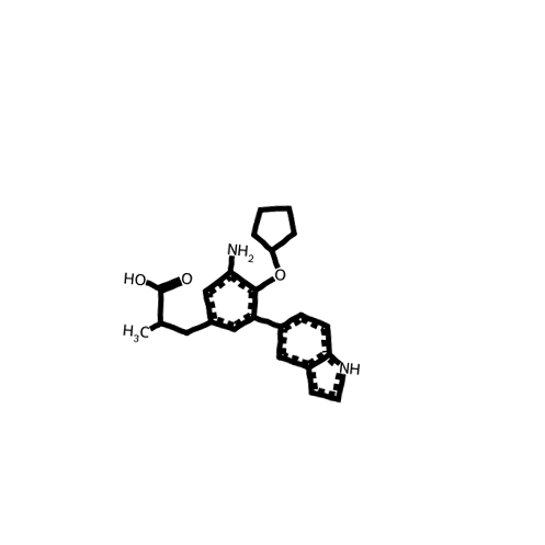 CC(Cc1cc(N)c(OC2CCCC2)c(-c2ccc3[nH]ccc3c2)c1)C(=O)O